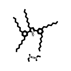 CCCCCCCCC1=C(c2cc(CCCCCCC)cc(CCCCCCC)c2)[N+](=[N-])C(c2cc(CCCCCCC)cc(CCCCCCC)c2)=C1.CC[N](C)[Ni][N](C)CC